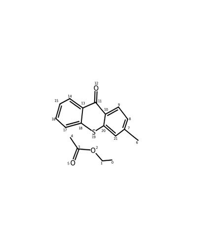 CCOC(C)=O.Cc1ccc2c(=O)c3ccccc3sc2c1